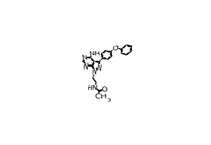 CC(=O)NCCn1nc(-c2ccc(Oc3ccccc3)cc2)c2c(N)ncnc21